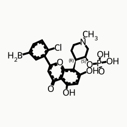 Bc1ccc(Cl)c(-c2cc(=O)c3c(O)cc(O)c([C@H]4CCN(C)C[C@H]4OP(=O)(O)O)c3o2)c1